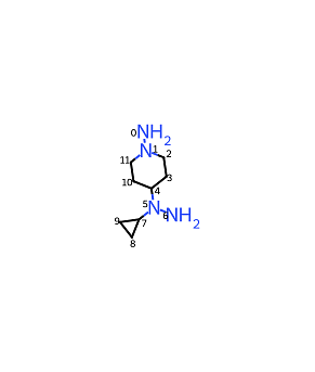 NN1CCC(N(N)C2CC2)CC1